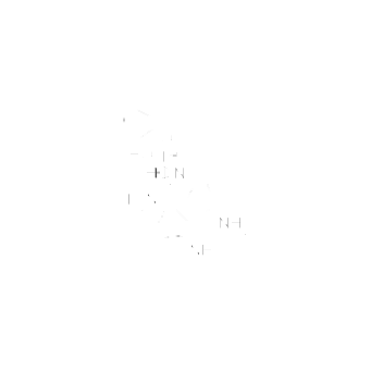 Nc1ccc(N)cc1.Nc1ccc(N)cc1.O=P(O)(O)Oc1ccccc1